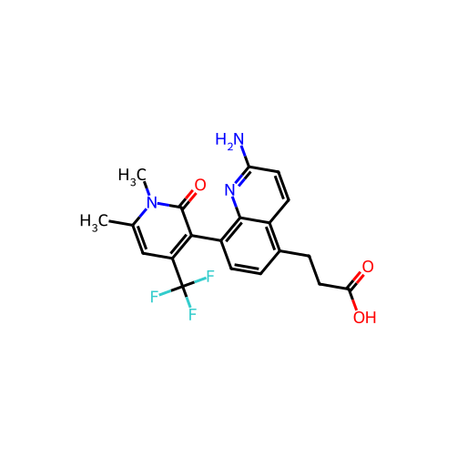 Cc1cc(C(F)(F)F)c(-c2ccc(CCC(=O)O)c3ccc(N)nc23)c(=O)n1C